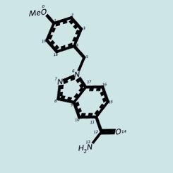 COc1ccc(Cn2ncc3cc(C(N)=O)ccc32)cc1